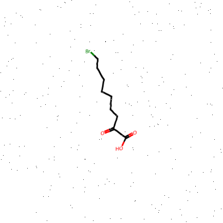 O=C(O)C(=O)CCCCCCCBr